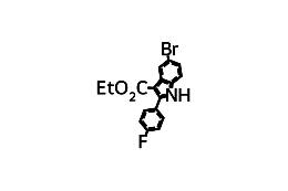 CCOC(=O)c1c(-c2ccc(F)cc2)[nH]c2ccc(Br)cc12